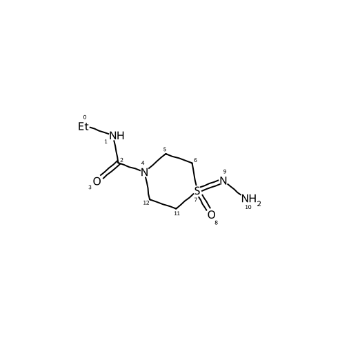 CCNC(=O)N1CCS(=O)(=NN)CC1